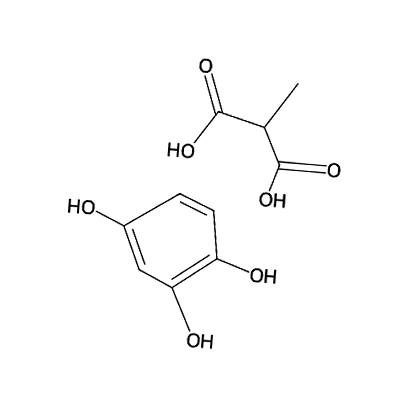 CC(C(=O)O)C(=O)O.Oc1ccc(O)c(O)c1